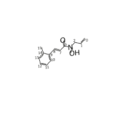 C=CCN(O)C(=O)/C=C/c1ccccc1C